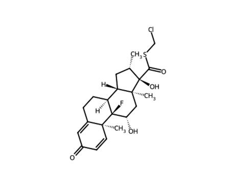 C[C@H]1C[C@H]2[C@@H]3CCC4=CC(=O)C=C[C@]4(C)[C@@]3(F)[C@@H](O)C[C@]2(C)[C@@]1(O)C(=O)SCCl